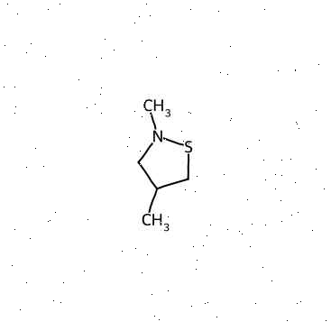 CC1CSN(C)C1